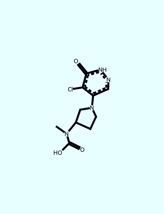 CN(C(=O)O)C1CCN(c2cn[nH]c(=O)c2Cl)C1